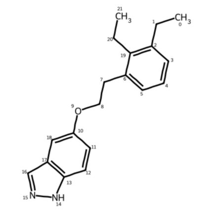 CCc1cccc(CCOc2ccc3[nH]ncc3c2)c1CC